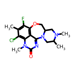 Cc1c(F)c2c3c(nc(=O)n(C)c3c1Cl)N1CC(C)N(C)CC1CO2